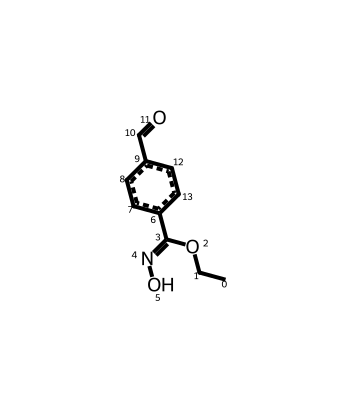 CCOC(=NO)c1ccc(C=O)cc1